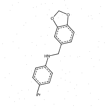 CC(C)c1ccc(NCc2ccc3c(c2)OCO3)cc1